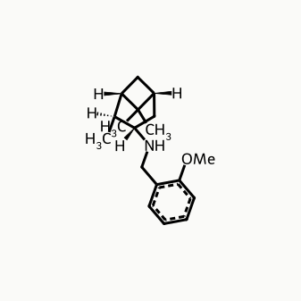 COc1ccccc1CN[C@H]1C[C@H]2C[C@@H]([C@@H]1C)C2(C)C